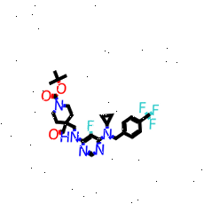 CC(C)(C)OC(=O)N1CCC(C=O)(CNc2ncnc(N(Cc3ccc(C(F)(F)F)cc3)C3CC3)c2F)CC1